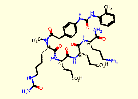 Cc1ccccc1NC(=O)Nc1ccc(CC(=O)N(C)[C@@H](CCCCNC(N)=O)C(=O)N[C@@H](CCC(=O)O)C(=O)N[C@@H](CCC(=O)O)C(=O)N[C@@H](CCCN)C(N)=O)cc1